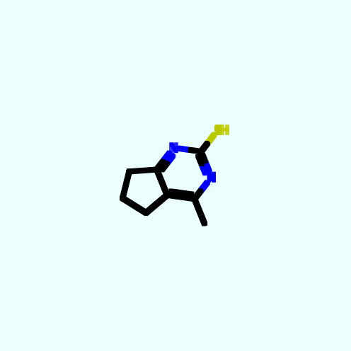 Cc1nc(S)nc2c1CCC2